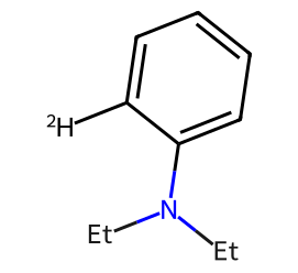 [2H]c1ccccc1N(CC)CC